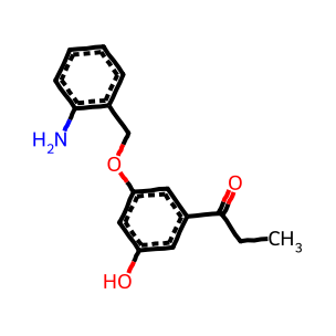 CCC(=O)c1cc(O)cc(OCc2ccccc2N)c1